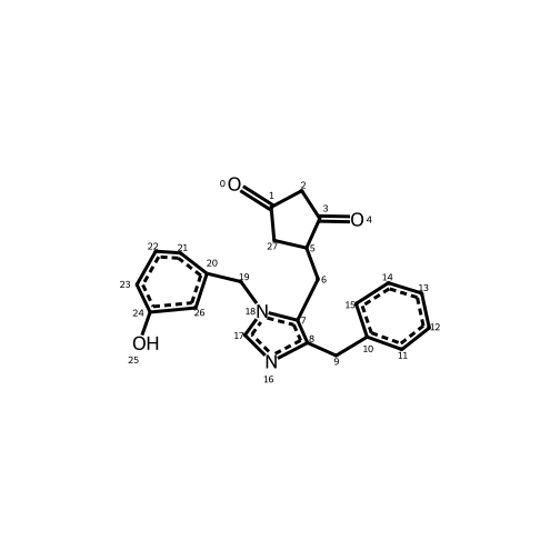 O=C1CC(=O)C(Cc2c(Cc3ccccc3)ncn2Cc2cccc(O)c2)C1